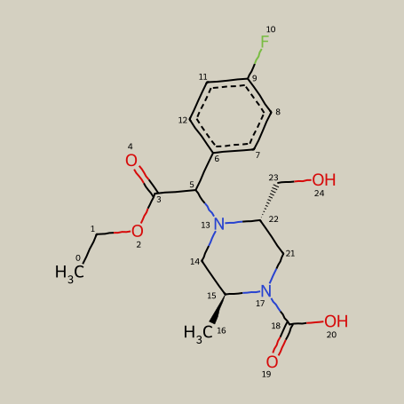 CCOC(=O)C(c1ccc(F)cc1)N1C[C@H](C)N(C(=O)O)C[C@H]1CO